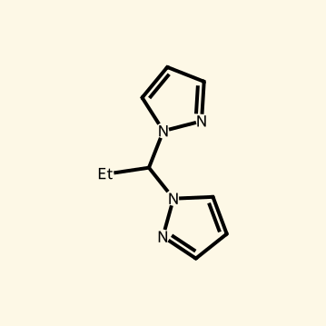 CCC(n1cccn1)n1cccn1